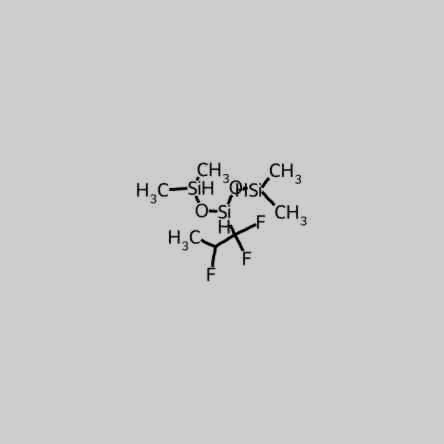 CC(F)C(F)(F)[SiH](O[SiH](C)C)O[SiH](C)C